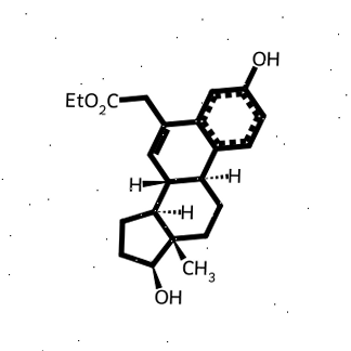 CCOC(=O)CC1=C[C@@H]2[C@H](CC[C@]3(C)[C@@H](O)CC[C@@H]23)c2ccc(O)cc21